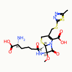 CO[C@@]1(NC(=O)CCC[C@@H](N)C(=O)O)C(=O)N2C(C(=O)O)=C(CSc3nnc(C)s3)CS[C@@H]21